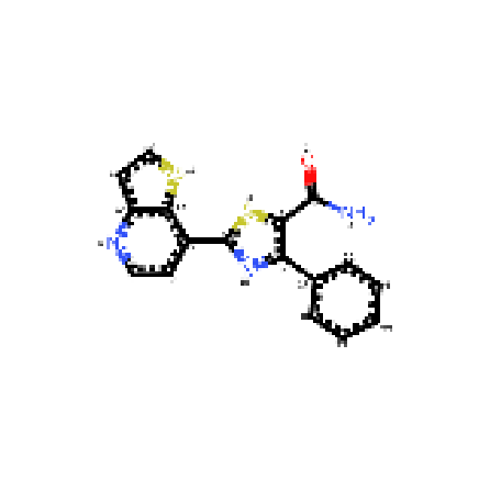 NC(=O)c1sc(-c2ccnc3ccsc23)nc1-c1ccccc1